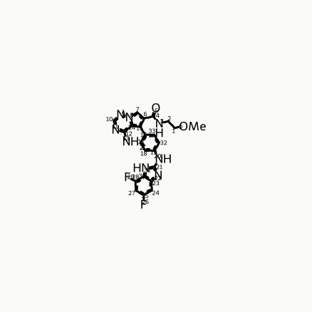 COCCNC(=O)c1cn2ncnc(N)c2c1-c1ccc(Nc2nc3cc(F)cc(F)c3[nH]2)cc1